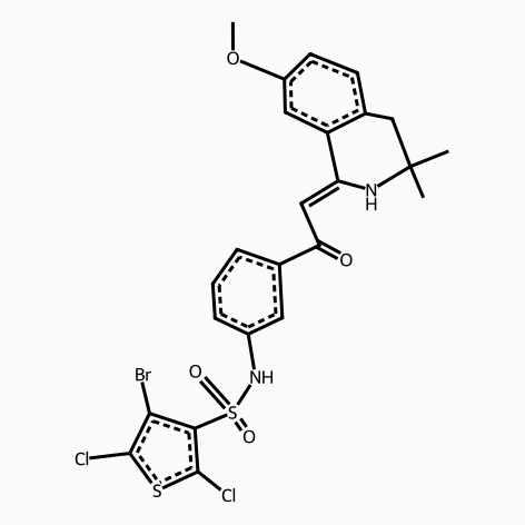 COc1ccc2c(c1)C(=CC(=O)c1cccc(NS(=O)(=O)c3c(Cl)sc(Cl)c3Br)c1)NC(C)(C)C2